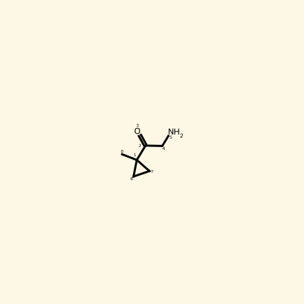 CC1(C(=O)CN)CC1